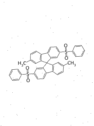 Cc1ccc2c(c1)C1(c3cc(C)ccc3-c3ccc(S(=O)(=O)c4ccccc4)cc31)c1cc(S(=O)(=O)c3ccccc3)ccc1-2